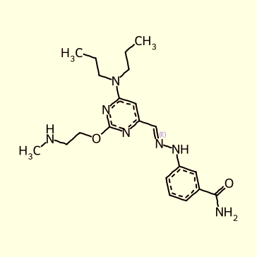 CCCN(CCC)c1cc(/C=N/Nc2cccc(C(N)=O)c2)nc(OCCNC)n1